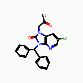 CCC(=O)Cn1c(=O)n(C(c2ccccc2)c2ccccc2)c2ncc(Br)cc21